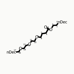 CCCCCCCCCCCCOC(=O)CCCOCCOCCOCCCCCCCCCCC